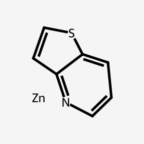 [Zn].c1cnc2ccsc2c1